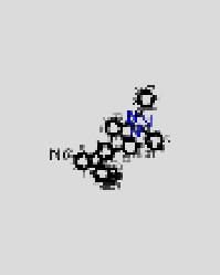 N#Cc1ccc2c(c1)-c1ccc(-c3ccccc3-c3ccccc3-c3nc(-c4ccccc4)nc(-c4ccccc4)n3)cc1C21C2CC3CC(C2)CC1C3